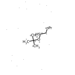 CCCC[SiH]OC(C)(C)C